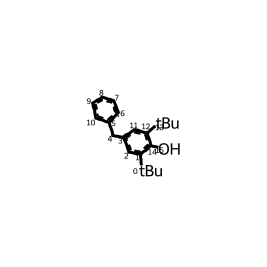 CC(C)(C)c1cc(Cc2[c]cccc2)cc(C(C)(C)C)c1O